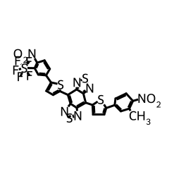 Cc1cc(-c2ccc(-c3c4c(c(-c5ccc(-c6ccc([N+](=O)[O-])c(S(F)(F)(F)(F)F)c6)s5)c5nsnc35)N=S=N4)s2)ccc1[N+](=O)[O-]